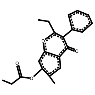 CCC(=O)Oc1cc2oc(CC)c(-c3ccccc3)c(=O)c2cc1C